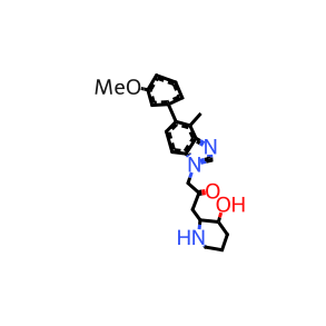 COc1cccc(-c2ccc3c(ncn3CC(=O)CC3NCCCC3O)c2C)c1